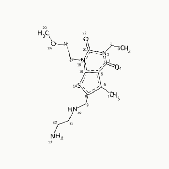 CCn1c(=O)c2c(C)c(CNCCN)sc2n(CCOC)c1=O